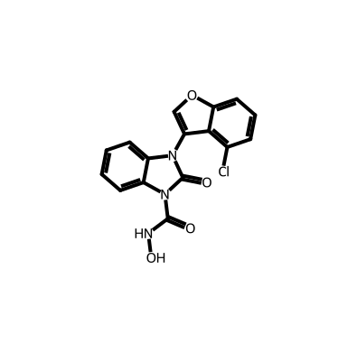 O=C(NO)n1c(=O)n(-c2coc3cccc(Cl)c23)c2ccccc21